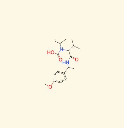 COc1ccc(C(C)NC(=O)C(C(C)C)N(C(=O)O)C(C)C)cc1